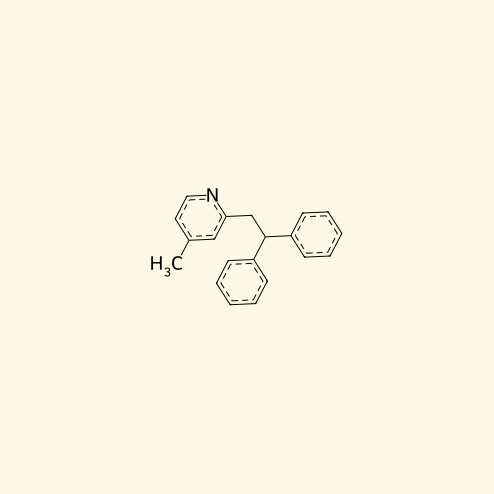 Cc1ccnc(CC(c2ccccc2)c2ccccc2)c1